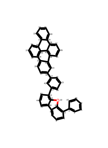 c1ccc(-c2cccc3c2oc2c(-c4cccc(-c5ccc6c(c5)c5cccc7c8ccccc8c8cccc6c8c75)c4)cccc23)cc1